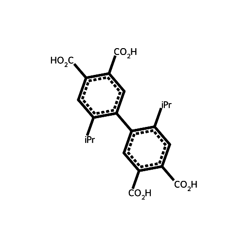 CC(C)c1cc(C(=O)O)c(C(=O)O)cc1-c1cc(C(=O)O)c(C(=O)O)cc1C(C)C